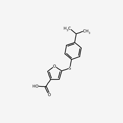 CC(C)c1ccc(Sc2cc(C(=O)O)co2)cc1